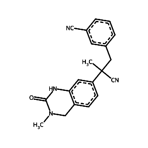 CN1Cc2ccc(C(C)(C#N)Cc3cccc(C#N)c3)cc2NC1=O